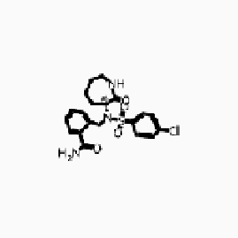 NC(=O)c1ccccc1CN([C@@H]1CCCCNC1=O)S(=O)(=O)c1ccc(Cl)cc1